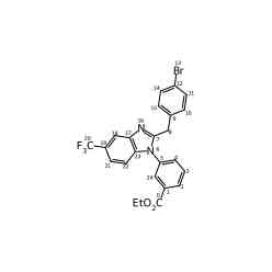 CCOC(=O)c1cccc(-n2c(Cc3ccc(Br)cc3)nc3cc(C(F)(F)F)ccc32)c1